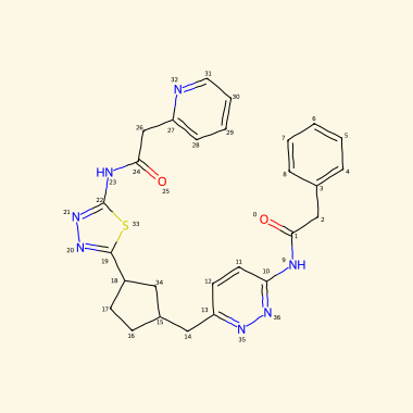 O=C(Cc1ccccc1)Nc1ccc(CC2CCC(c3nnc(NC(=O)Cc4ccccn4)s3)C2)nn1